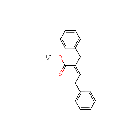 COC(=O)C(=CCc1ccccc1)Cc1ccccc1